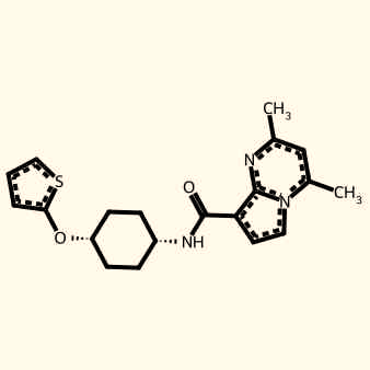 Cc1cc(C)n2ccc(C(=O)N[C@H]3CC[C@@H](Oc4cccs4)CC3)c2n1